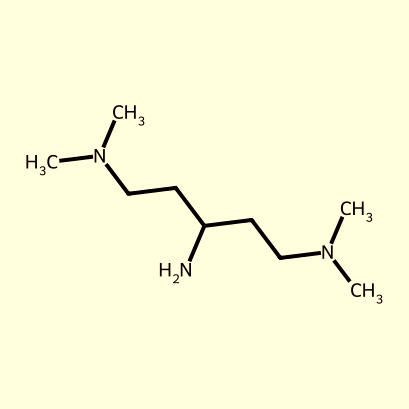 CN(C)CCC(N)CCN(C)C